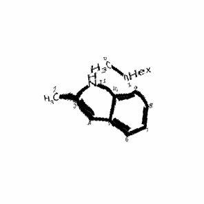 CCCCCCC.Cc1cc2ccccc2[nH]1